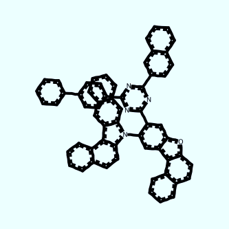 c1ccc(-c2ccc(-c3nc(-c4ccc5ccccc5c4)nc(-c4cc5oc6ccc7ccccc7c6c5cc4-n4c5cc6ccccc6cc5c5c6ccccc6ccc54)n3)cc2)cc1